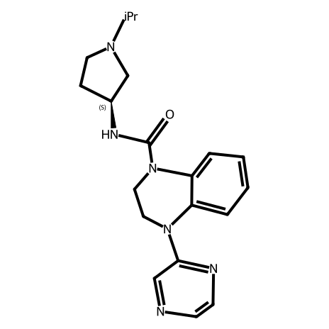 CC(C)N1CC[C@H](NC(=O)N2CCN(c3cnccn3)c3ccccc32)C1